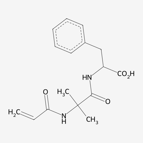 C=CC(=O)NC(C)(C)C(=O)NC(Cc1ccccc1)C(=O)O